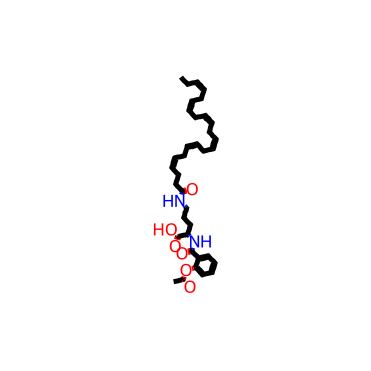 CC/C=C\C/C=C\C/C=C\C/C=C\C/C=C\C/C=C\CCC(=O)NCCCC(NC(=O)c1ccccc1OC(C)=O)C(=O)O